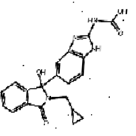 O=C(O)Nc1nc2cc(C3(O)c4ccccc4C(=O)N3CC3CC3)ccc2[nH]1